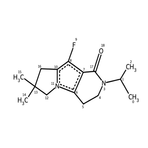 CC(C)N1CCc2c(c(F)c3n2CC(C)(C)C3)C1=O